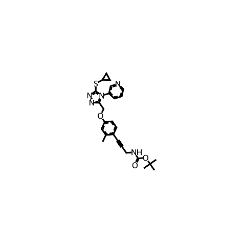 Cc1cc(OCc2nnc(SC3CC3)n2-c2cccnc2)ccc1C#CCNC(=O)OC(C)(C)C